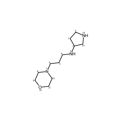 [CH]1CC(NCCCN2CCOCC2)CN1